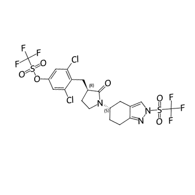 O=C1[C@H](Cc2c(Cl)cc(OS(=O)(=O)C(F)(F)F)cc2Cl)CCN1[C@H]1CCc2nn(S(=O)(=O)C(F)(F)F)cc2C1